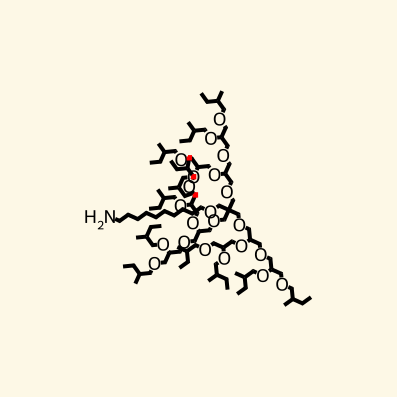 CCC(C)COCC(COCC(COCC(COCCCCCCCCCCN)(COCC(COCC(COCC(C)CC)OCC(C)CC)OCC(COCC(C)CC)OCC(C)CC)COCC(COCC(COCC(C)CC)OCC(C)CC)OCC(COCC(C)CC)OCC(C)CC)OCC(COCC(C)CC)OCC(C)CC)OCC(C)CC